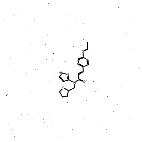 CCOc1ccc(/C=C/C(=O)N(CC2CCCS2)c2cc[nH]n2)cc1